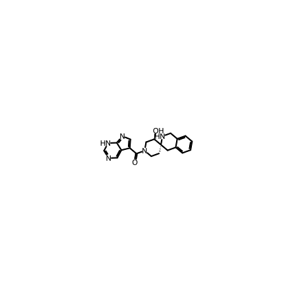 O=C(c1cnc2[nH]cncc1-2)N1CC[C@]2(Cc3ccccc3CN2)[C@H](O)C1